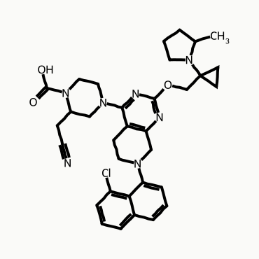 CC1CCCN1C1(COc2nc3c(c(N4CCN(C(=O)O)C(CC#N)C4)n2)CCN(c2cccc4cccc(Cl)c24)C3)CC1